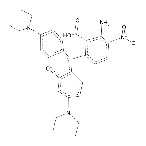 CCN(CC)c1ccc2c(-c3ccc([N+](=O)[O-])c(N)c3C(=O)O)c3ccc(N(CC)CC)cc3[o+]c2c1